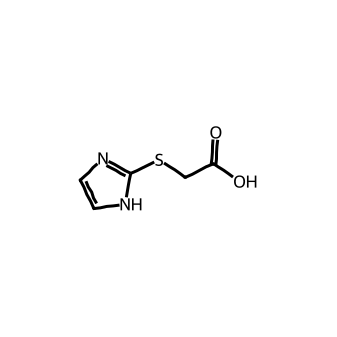 O=C(O)CSc1ncc[nH]1